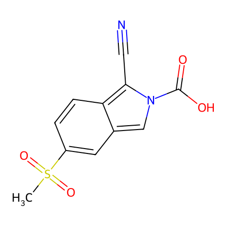 CS(=O)(=O)c1ccc2c(C#N)n(C(=O)O)cc2c1